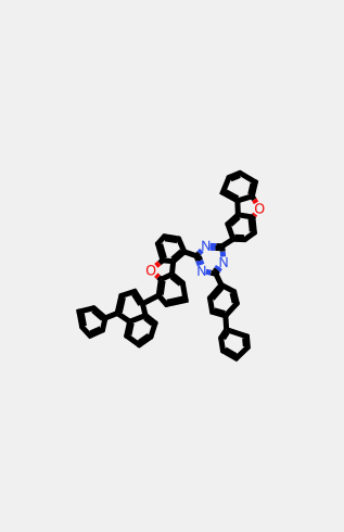 c1ccc(-c2ccc(-c3nc(-c4ccc5oc6ccccc6c5c4)nc(-c4cccc5oc6c(-c7ccc(-c8ccccc8)c8ccccc78)cccc6c45)n3)cc2)cc1